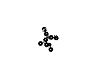 c1ccc(-n2ccc3c4c5cc(N(c6ccc(-c7ccccn7)cc6)c6ccc(-c7ncccn7)cc6)ccc5n(-c5ccccc5)c4ccc32)cc1